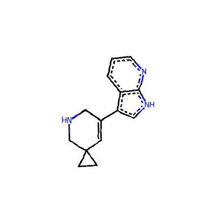 C1=C(c2c[nH]c3ncccc23)CNCC12CC2